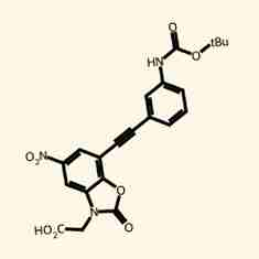 CC(C)(C)OC(=O)Nc1cccc(C#Cc2cc([N+](=O)[O-])cc3c2oc(=O)n3CC(=O)O)c1